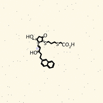 O=C(O)CSCCCS[C@H]1C(=O)C[C@@H](CO)[C@@H]1/C=C/[C@H](O)CCc1ccc2ccccc2c1